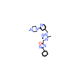 C=NN(Cc1ccnc(N2CCN(C)CC2)c1)/C(C)=N\Cc1nc(-c2ccccc2)no1